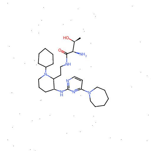 C[C@H](O)[C@@H](N)C(=O)NCCC1C(Nc2nccc(N3CCCCCC3)n2)CCCN1C1CCCCC1